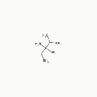 CC(C)C(N)(N)CN